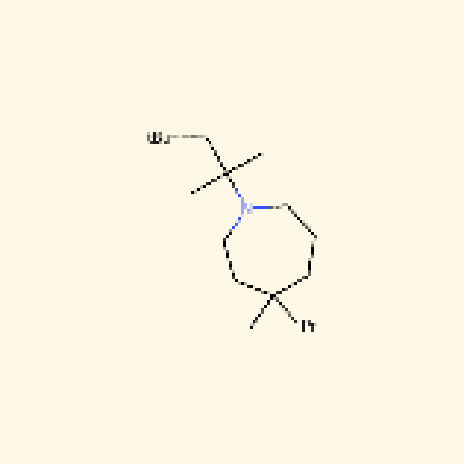 CC(C)C1(C)CCCN(C(C)(C)CC(C)(C)C)CC1